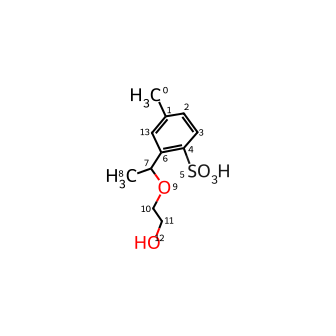 Cc1ccc(S(=O)(=O)O)c(C(C)OCCO)c1